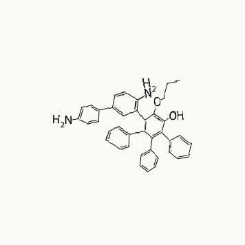 CCCOc1c(O)c(-c2ccccc2)c(-c2ccccc2)c(-c2ccccc2)c1-c1cc(-c2ccc(N)cc2)ccc1N